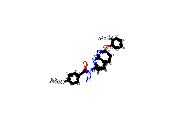 COc1ccc(C(=O)Nc2ccc3ccc(Oc4ccccc4OC)nc3n2)cc1